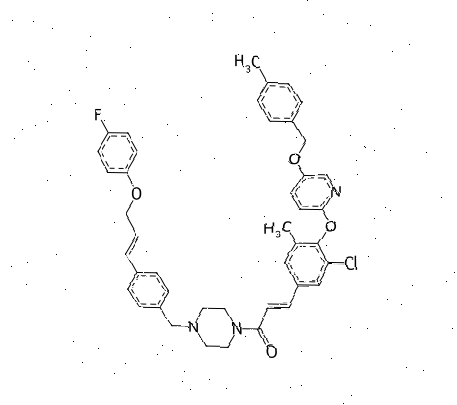 Cc1ccc(COc2ccc(Oc3c(C)cc(C=CC(=O)N4CCN(Cc5ccc(C=CCOc6ccc(F)cc6)cc5)CC4)cc3Cl)nc2)cc1